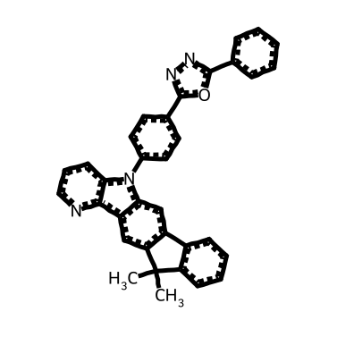 CC1(C)c2ccccc2-c2cc3c(cc21)c1ncccc1n3-c1ccc(-c2nnc(-c3ccccc3)o2)cc1